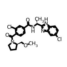 COC[C@H]1CCCN1C(=O)c1ccc(C(=O)N[C@H](C)c2nc3cc(Cl)ccc3[nH]2)cc1Cl